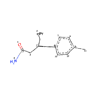 CCCC(CC(N)=O)c1ccc(C)cc1